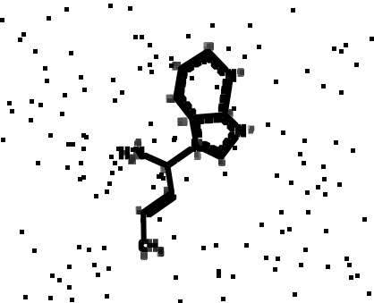 CC=CC(N)n1cnc2ncccc21